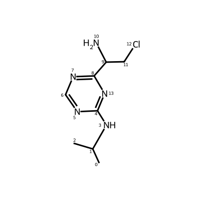 CC(C)Nc1ncnc(C(N)CCl)n1